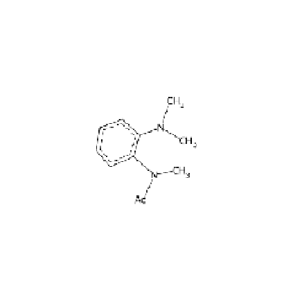 CC(=O)N(C)c1ccccc1N(C)C